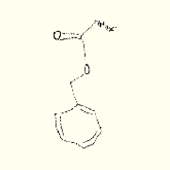 CCCCC[CH]C(=O)OCc1ccccc1